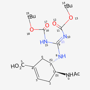 CC(=O)N[C@H]1CC=C(C(=O)O)C[C@@H]1N/C(=N/C(=O)OC(C)(C)C)NC(=O)OC(C)(C)C